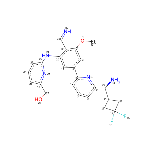 CCOc1cc(-c2cccc([C@@H](N)C3CC(F)(F)C3)n2)cc(Nc2cccc(CO)n2)c1C=N